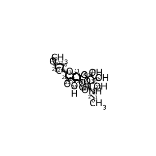 CCCNC(=O)C1OC(Oc2cc3oc(-c4ccc(OC)cc4)cc(=O)c3c(O)c2OC)C(O)C(O)C1O